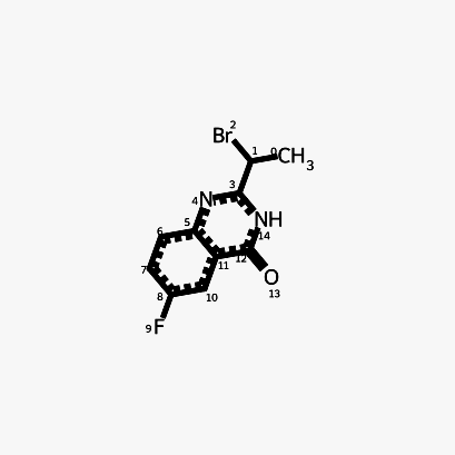 CC(Br)c1nc2ccc(F)cc2c(=O)[nH]1